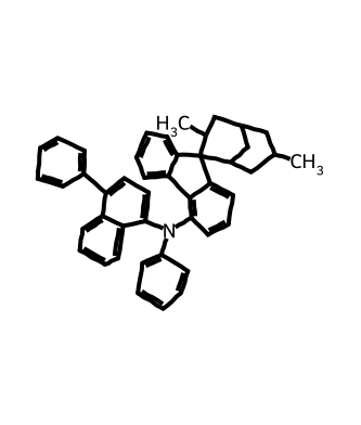 CC1CC2CC(C)C3(c4ccccc4-c4c(N(c5ccccc5)c5ccc(-c6ccccc6)c6ccccc56)cccc43)C(C1)C2